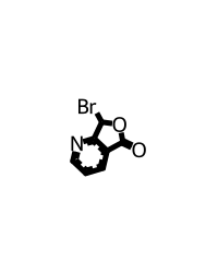 O=C1OC(Br)c2ncccc21